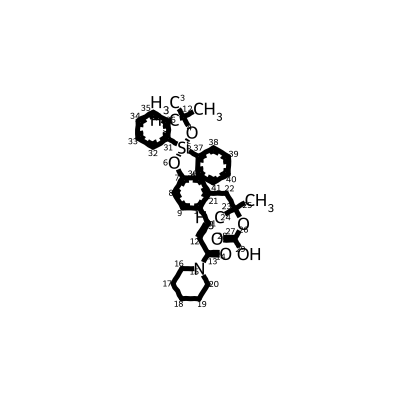 CC(C)(C)O[Si](Oc1ccc(/C=C/C(=O)N2CCCCC2)c(CC(C)(C)OC(=O)O)c1)(c1ccccc1)c1ccccc1